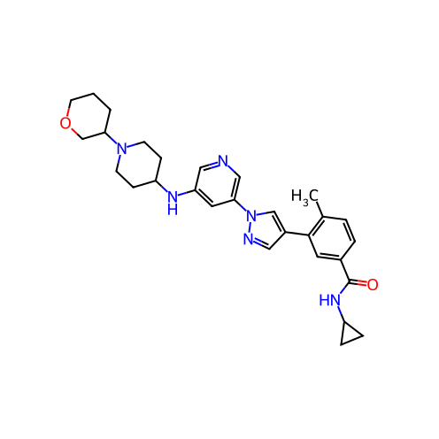 Cc1ccc(C(=O)NC2CC2)cc1-c1cnn(-c2cncc(NC3CCN(C4CCCOC4)CC3)c2)c1